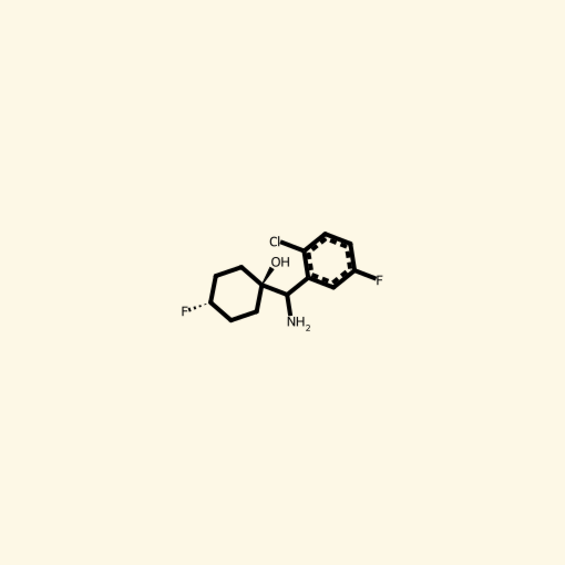 NC(c1cc(F)ccc1Cl)[C@]1(O)CC[C@H](F)CC1